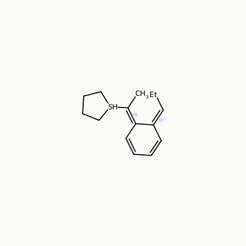 CC/C=c1/cccc/c1=C(/C)[SH]1CCCC1